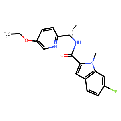 C[C@H](NC(=O)c1cc2ccc(F)cc2n1C)c1ccc(OCC(F)(F)F)cn1